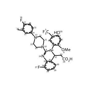 COc1ccc(C(F)(F)F)cc1N1C(N2CCN(c3ccc(F)c(C)c3)CC2)=Nc2c(F)cccc2C1CC(=O)O.Cl